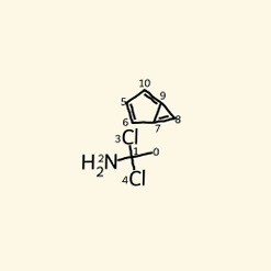 CC(N)(Cl)Cl.c1cc2cc-2c1